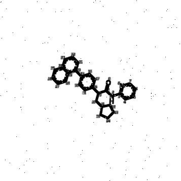 O=C(Nc1ccccn1)C(CC1CCCC1)c1ccc(-c2cccc3ccccc23)cc1